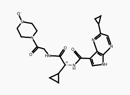 O=C(N[C@@H](C(=O)NCC(=O)N1CC[S+]([O-])CC1)C1CC1)c1c[nH]c2ncc(C3CC3)nc12